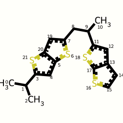 CC(C)c1cc2sc(CC(C)c3cc4ccsc4s3)cc2s1